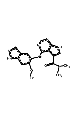 CC(C)Oc1cc2[nH]ncc2cc1Nc1ncnc2[nH]cc(C(=O)N(C)C)c12